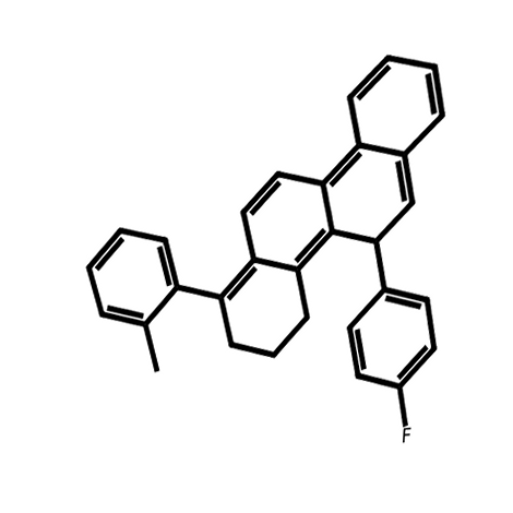 Cc1ccccc1C1=c2ccc3c(c2CCC1)C(c1ccc(F)cc1)C=c1ccccc1=3